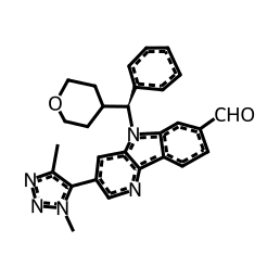 Cc1nnn(C)c1-c1cnc2c3ccc(C=O)cc3n([C@H](c3ccccc3)C3CCOCC3)c2c1